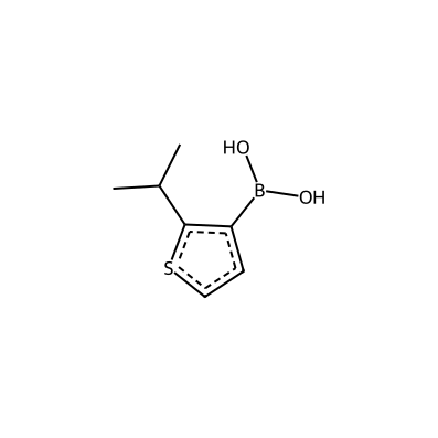 CC(C)c1sccc1B(O)O